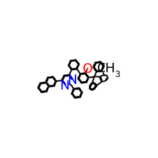 CC1CC=CC2=C1C1(c3ccccc3Oc3c(-c4ccccc4-c4cc(-c5ccc6ccccc6c5)nc(-c5ccccc5)n4)cccc31)c1ccccc12